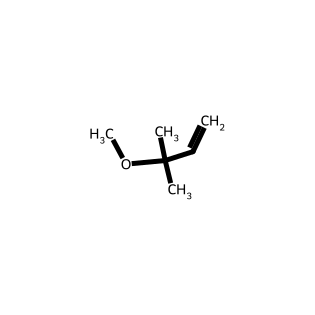 C=CC(C)(C)OC